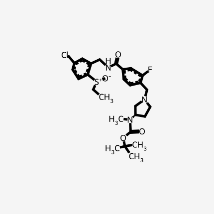 CC[S+]([O-])c1ccc(Cl)cc1CNC(=O)c1ccc(CN2CC[C@@H](N(C)C(=O)OC(C)(C)C)C2)c(F)c1